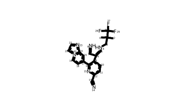 CC(C)(CN/C=C(\C=N)c1ccc(C#N)nc1-c1ccn2ccnc2c1)C(F)(F)F